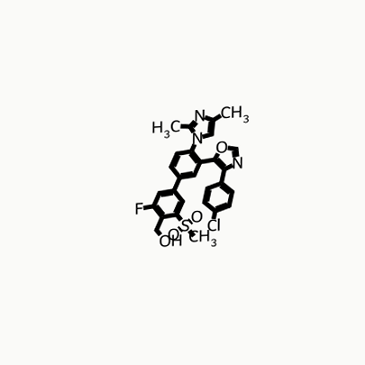 Cc1cn(-c2ccc(-c3cc(F)c(CO)c(S(C)(=O)=O)c3)cc2-c2ocnc2-c2ccc(Cl)cc2)c(C)n1